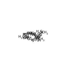 CCn1c(-c2cccnc2[C@H](C)OC)c2c3cc(ccc31)-c1csc(n1)C[C@H](NC(=O)[C@H](C(C)C)N(C)C(=O)N1CCO[C@@](C)(CCN(C)C)C1)C(=O)N1CCC[C@](C=O)(COCC(C)(C)C2)N1